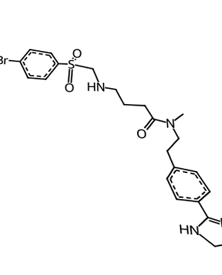 CN(CCc1ccc(C2=NCCN2)cc1)C(=O)CCCNCS(=O)(=O)c1ccc(Br)cc1